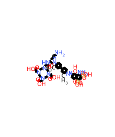 Cc1cc(-c2ccc(NC(=O)[C@@H](CCCCN)NC(=O)CN3CCN(CC(=O)O)CCN(CC(=O)O)CCN(CC(=O)O)CC3)c(C)c2)ccc1N=Nc1ccc2c(S(=O)(=O)O)cc(S(=O)(=O)O)c(N)c2c1O